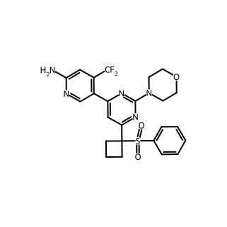 Nc1cc(C(F)(F)F)c(-c2cc(C3(S(=O)(=O)c4ccccc4)CCC3)nc(N3CCOCC3)n2)cn1